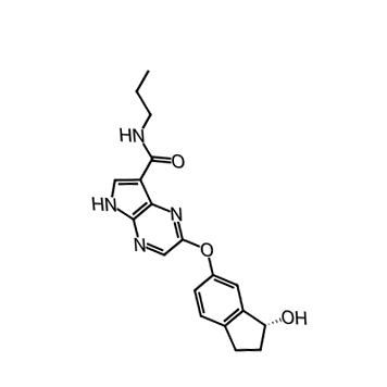 CCCNC(=O)c1c[nH]c2ncc(Oc3ccc4c(c3)[C@H](O)CC4)nc12